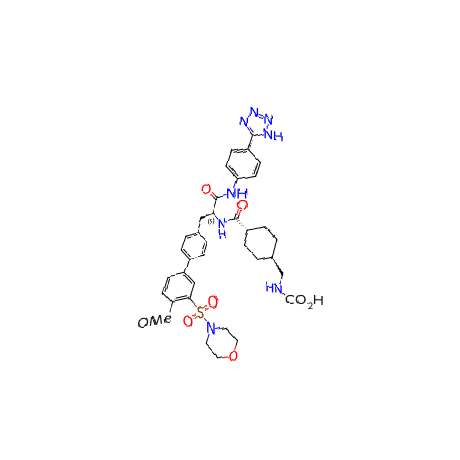 COc1ccc(-c2ccc(C[C@H](NC(=O)[C@H]3CC[C@H](CNC(=O)O)CC3)C(=O)Nc3ccc(-c4nnn[nH]4)cc3)cc2)cc1S(=O)(=O)N1CCOCC1